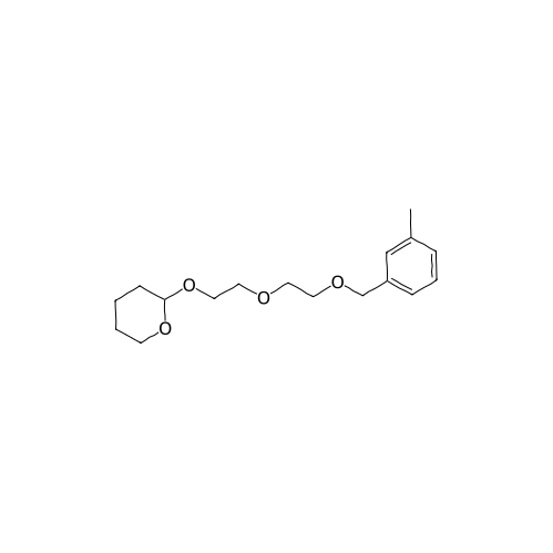 Cc1cccc(COCCOCCOC2CCCCO2)c1